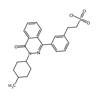 CC1CCC(n2nc(-c3cccc(CCS(=O)(=O)Cl)c3)c3ccccc3c2=O)CC1